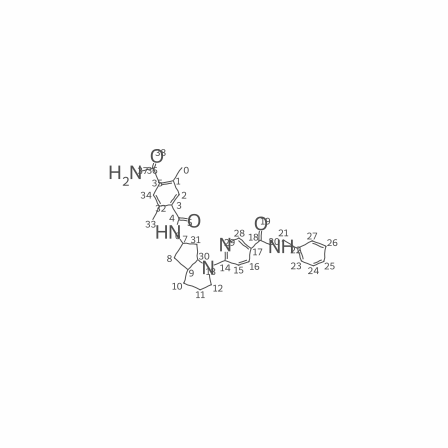 Cc1cc(C(=O)NC2CC3CCCN(c4ccc(C(=O)NCc5ccccc5)cn4)C3C2)c(C)cc1C(N)=O